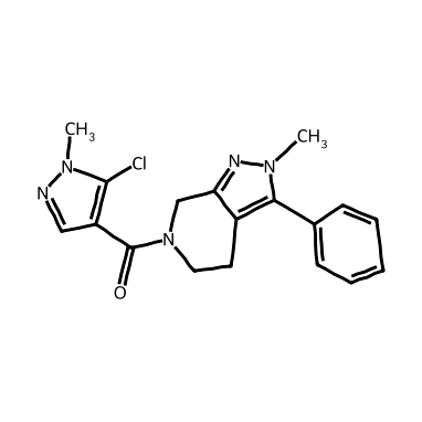 Cn1ncc(C(=O)N2CCc3c(nn(C)c3-c3ccccc3)C2)c1Cl